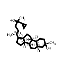 C[C@H](CCC(C)(O)C1CC1)C1CC[C@H]2[C@@H]3CC[C@H]4C[C@@](C)(O)CC[C@]4(C)[C@H]3CC[C@]12C